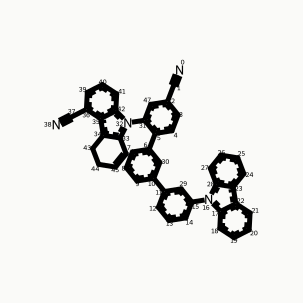 N#Cc1ccc(-c2cccc(-c3cccc(-n4c5ccccc5c5ccccc54)c3)c2)c(-n2c3c(c4c(C#N)cccc42)CCC=C3)c1